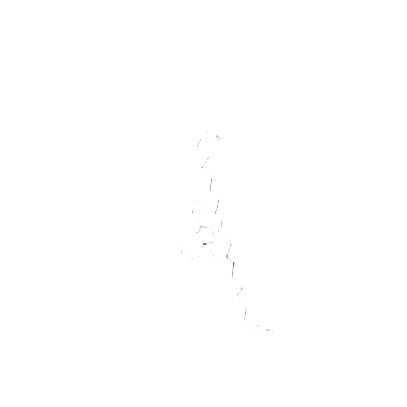 CC1(C)OCC(CO)O1.CCCCCCCCCCCCCCCCCCOCCCCCCCCCCCCCCCCCC